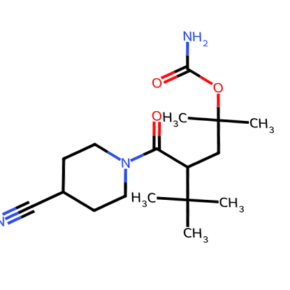 CC(C)(CC(C(=O)N1CCC(C#N)CC1)C(C)(C)C)OC(N)=O